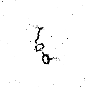 NC(=O)CCCN1CCN(c2cccc([N+](=O)[O-])c2)CC1